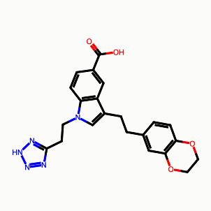 O=C(O)c1ccc2c(c1)c(CCc1ccc3c(c1)OCCO3)cn2CCc1nn[nH]n1